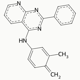 C=C1C=C=C(Nc2nc(-c3ccccc3)nc3ncccc23)C=C1C